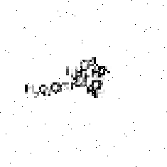 COc1ccc(COc2cc(-c3c[nH]c4ccc(-c5cncc(C6CC6)n5)cc34)nc(NC(C)C)n2)cc1